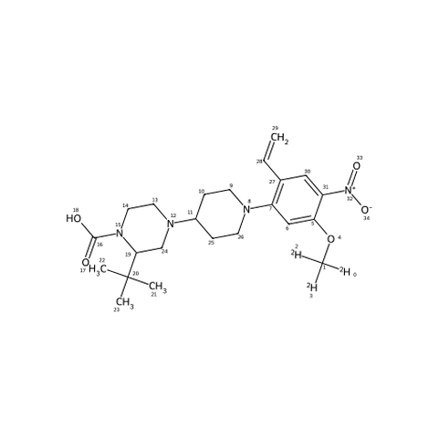 [2H]C([2H])([2H])Oc1cc(N2CCC(N3CCN(C(=O)O)C(C(C)(C)C)C3)CC2)c(C=C)cc1[N+](=O)[O-]